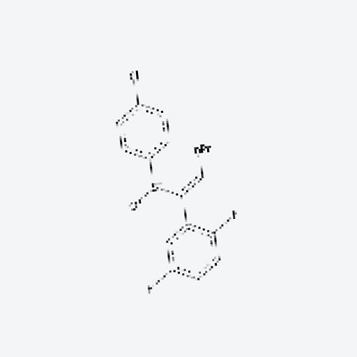 CCC/C=C(/c1cc(F)ccc1F)[S+]([O-])c1ccc(Cl)cc1